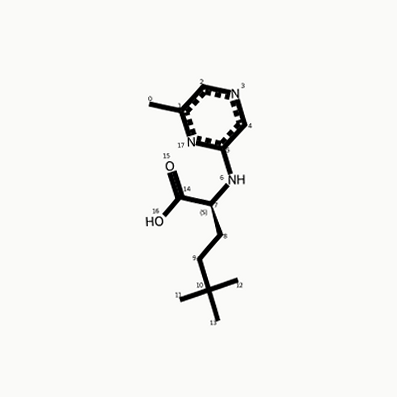 Cc1cncc(N[C@@H](CCC(C)(C)C)C(=O)O)n1